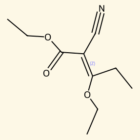 CCOC(=O)/C(C#N)=C(/CC)OCC